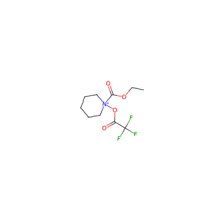 CCOC(=O)[N+]1(OC(=O)C(F)(F)F)CCCCC1